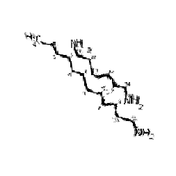 CCCCCCCCCCCCN.NCCCCCCN